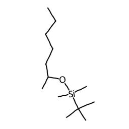 CCCCCC(C)O[Si](C)(C)C(C)(C)C